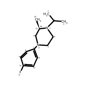 CC(C)N1CCN(c2ccc(F)cc2)C[C@H]1C